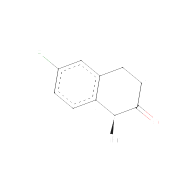 CC(C)[C@@H]1C(=O)CCc2cc(F)ccc21